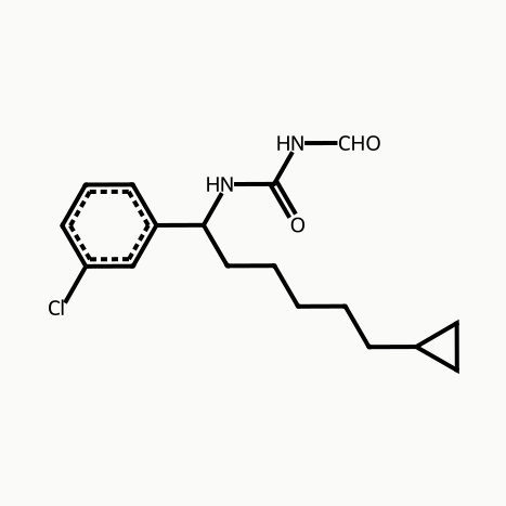 O=CNC(=O)NC(CCCCCC1CC1)c1cccc(Cl)c1